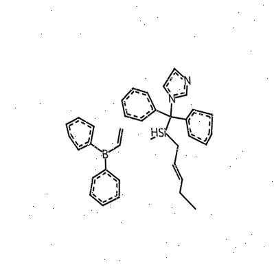 C=CB(c1ccccc1)c1ccccc1.CCC=CC[SiH](C)C(c1ccccc1)(c1ccccc1)n1ccnc1